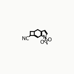 CS(=O)(=O)n1ccc2c1C=C1C(C#N)CC1C2